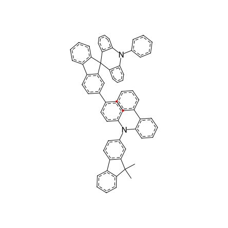 CC1(C)c2ccccc2-c2ccc(N(c3ccc(-c4ccc5c(c4)C4(c6ccccc6-5)c5ccccc5N(c5ccccc5)c5ccccc54)cc3)c3ccccc3-c3ccccc3)cc21